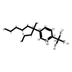 CCCCCC(C)(CCC)c1ccc(C(F)(F)F)nc1